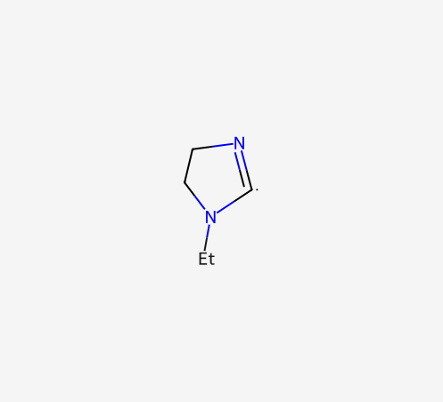 CCN1[C]=NCC1